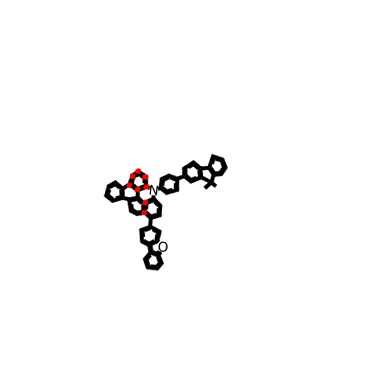 CC1(C)c2ccccc2-c2ccc(-c3ccc(N(c4ccc(-c5ccc6c(c5)oc5ccccc56)cc4)C4C=CC=CC4c4ccccc4-c4ccccc4-c4ccccc4)cc3)cc21